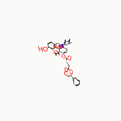 CC(=O)[C@@H](OC(=O)CCC(=O)OC1=CC[C@@]2(O)[C@H]3Cc4ccc(O)c5c4[C@@]2(CCN3C)[C@H]1O5)c1ccccc1